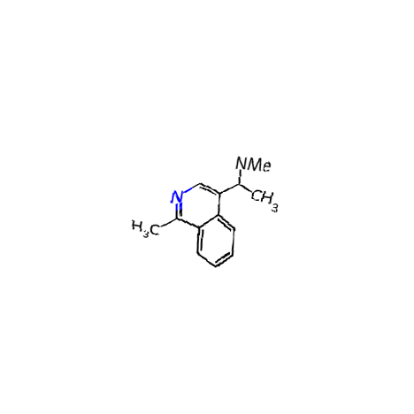 CNC(C)c1cnc(C)c2ccccc12